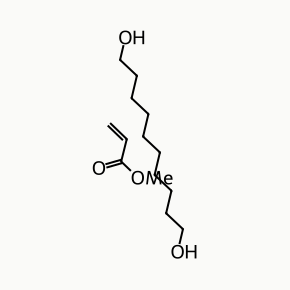 C=CC(=O)OC.OCCCCCCCCCCO